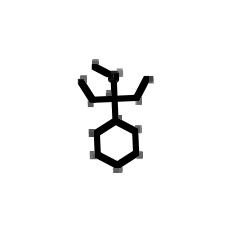 CCC(CC)(OC)C1CCCCC1